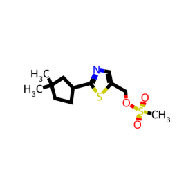 CC1(C)CCC(c2ncc(COS(C)(=O)=O)s2)C1